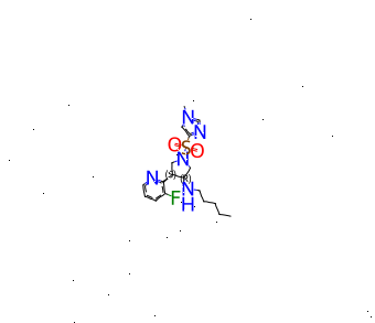 CCCCCN[C@H]1CN(S(=O)(=O)c2cn(C)cn2)C[C@@H]1c1ncccc1F